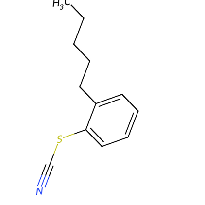 CCCCCc1ccccc1SC#N